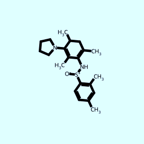 CC1=C(N[S+]([O-])c2ccc(C)cc2C)C(C)=C(N2CCCC2)C(C)C1